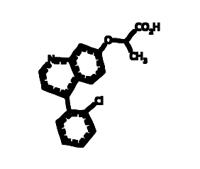 CC(Oc1ccc2c(-c3ccccc3Cl)ccnc2c1)C(=O)O